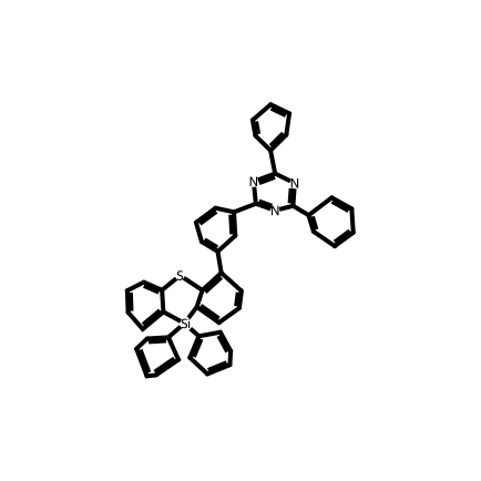 c1ccc(-c2nc(-c3ccccc3)nc(-c3cccc(-c4cccc5c4Sc4ccccc4[Si]5(c4ccccc4)c4ccccc4)c3)n2)cc1